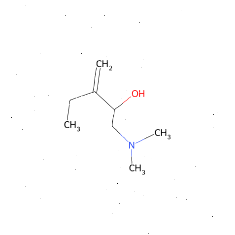 C=C(CC)C(O)CN(C)C